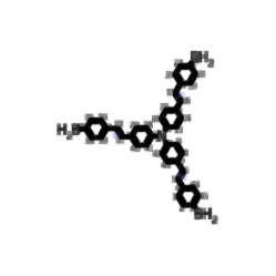 Bc1ccc(/C=C/c2ccc(N(c3ccc(/C=C/c4ccc(B)cc4)cc3)c3ccc(/C=C/c4ccc(B)cc4)cc3)cc2)cc1